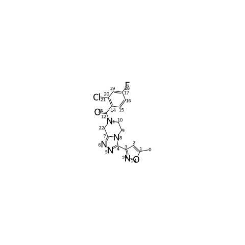 Cc1cc(-c2nnc3n2CCN(C(=O)c2ccc(F)cc2Cl)C3)no1